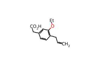 C=CCc1ccc(CC(=O)O)cc1OCC